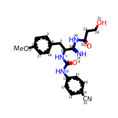 COc1ccc(CC(NC(=O)Nc2ccc(C#N)cc2)C(=N)NC(=O)CCO)cc1